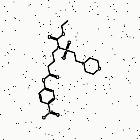 CCOC(=O)N(CCCC(=O)Oc1ccc([N+](=O)[O-])cc1)S(=O)(=O)CCN1CCOCC1